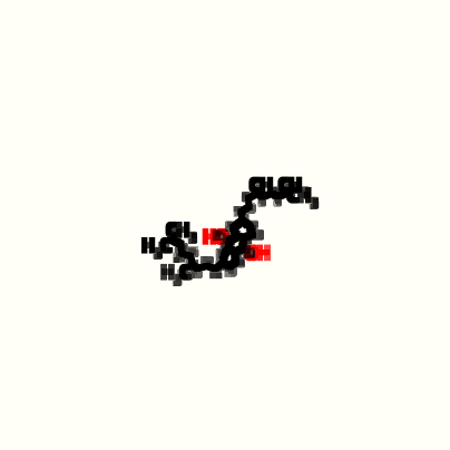 CC(C)=CCCC(C)CCCc1ccc2c(O)c3ccc(CCCC(C)CCC=C(C)C)cc3c(O)c2c1